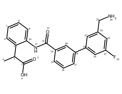 CC(C(=O)O)c1ccccc1NC(=O)c1cccc(-c2cc(F)cc(CN)c2)c1